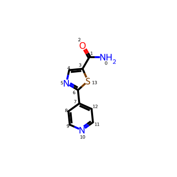 NC(=O)c1cnc(-c2ccncc2)s1